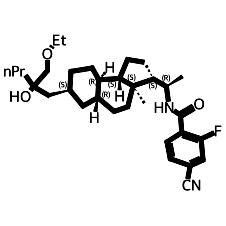 CCCC(O)(COCC)C[C@H]1CC[C@@H]2[C@H](CC[C@]3(C)[C@@H]([C@@H](C)NC(=O)c4ccc(C#N)cc4F)CC[C@@H]23)C1